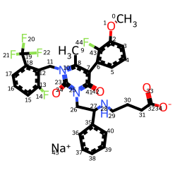 COc1cccc(-c2c(C)n(Cc3c(F)cccc3C(F)(F)F)c(=O)n(CC(NCCCC(=O)[O-])c3ccccc3)c2=O)c1F.[Na+]